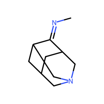 CN=C1C2CC3CC1CN(C3)C2